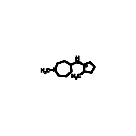 CC1CCC[C@@H]1NC1CCCN(C)CC1